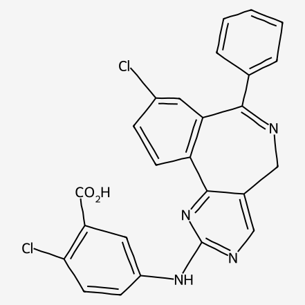 O=C(O)c1cc(Nc2ncc3c(n2)-c2ccc(Cl)cc2C(c2ccccc2)=NC3)ccc1Cl